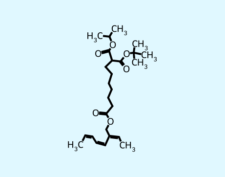 C\C=C/C=C\C(=C/C)COC(=O)CCCCCCC(C(=O)OC(C)C)C(=O)OC(C)(C)C